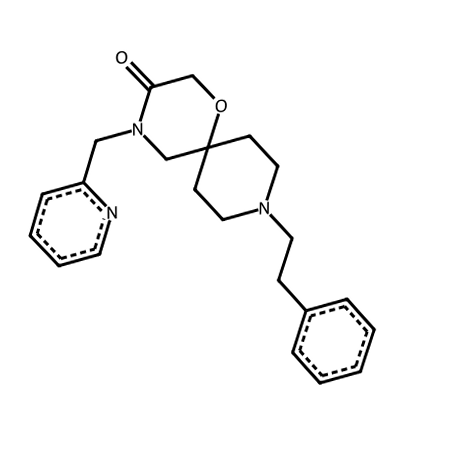 O=C1COC2(CCN(CCc3ccccc3)CC2)CN1Cc1ccccn1